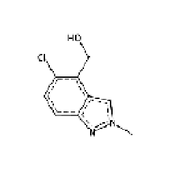 Cn1cc2c(CO)c(Cl)ccc2n1